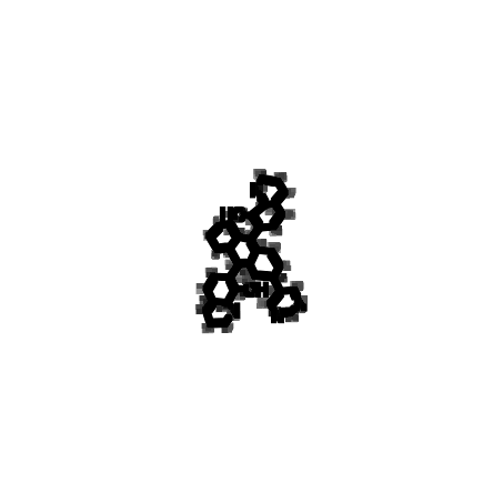 Oc1c(-c2c3ccccc3c(-c3ccc4cccnc4c3O)c3cc(-c4cncnc4)ccc23)ccc2cccnc12